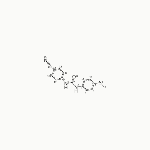 CSc1ccc(NC(=O)Nc2ccc(C#N)nc2)cc1